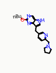 CCCCOc1ncc2[nH]cc(Cc3ccc(CN4CCCC4)nc3)c2n1